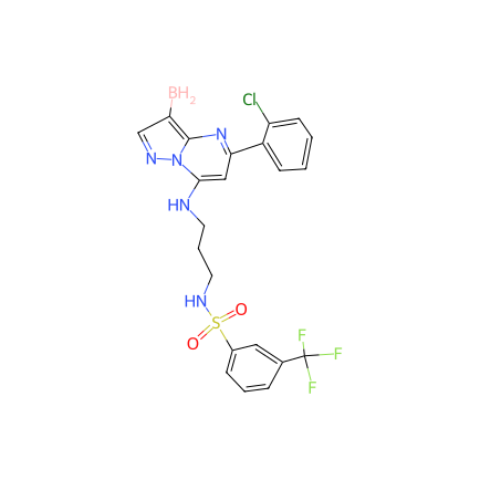 Bc1cnn2c(NCCCNS(=O)(=O)c3cccc(C(F)(F)F)c3)cc(-c3ccccc3Cl)nc12